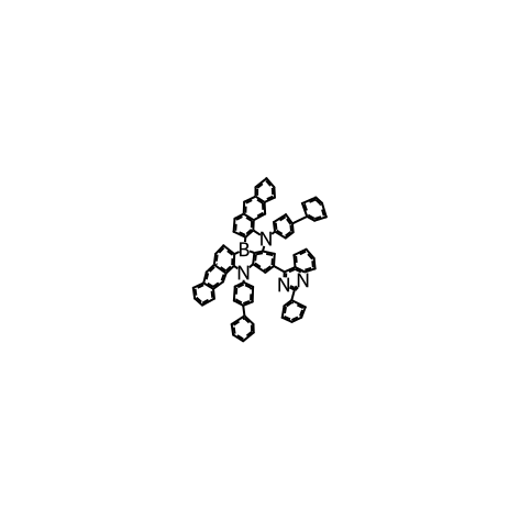 c1ccc(-c2ccc(N3c4cc(-c5nc(-c6ccccc6)nc6ccccc56)cc5c4B(c4ccc6cc7ccccc7cc6c43)c3ccc4cc6ccccc6cc4c3N5c3ccc(-c4ccccc4)cc3)cc2)cc1